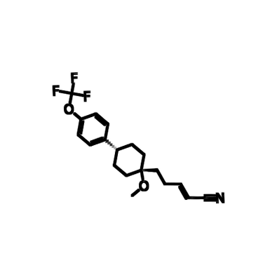 CO[C@]1(CCC=CC#N)CC[C@H](c2ccc(OC(F)(F)F)cc2)CC1